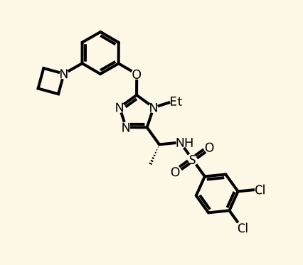 CCn1c(Oc2cccc(N3CCC3)c2)nnc1[C@@H](C)NS(=O)(=O)c1ccc(Cl)c(Cl)c1